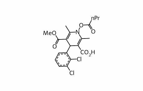 CCCC(=O)ON1C(C)=C(C(=O)O)C(c2cccc(Cl)c2Cl)C(C(=O)OC)=C1C